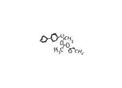 C=CC(=O)OC(C)OC(C)Oc1ccc(-c2ccccc2)cc1